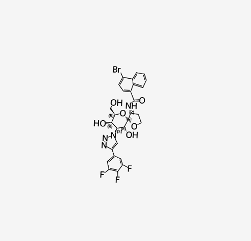 O=C(N[C@@H]1CCO[C@]12O[C@H](CO)[C@H](O)[C@H](n1cc(-c3cc(F)c(F)c(F)c3)nn1)[C@H]2O)c1ccc(Br)c2ccccc12